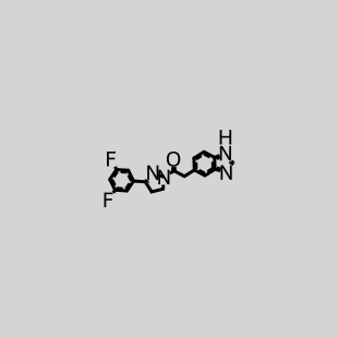 O=C(Cc1ccc2[nH]cnc2c1)N1CCC(c2cc(F)cc(F)c2)=N1